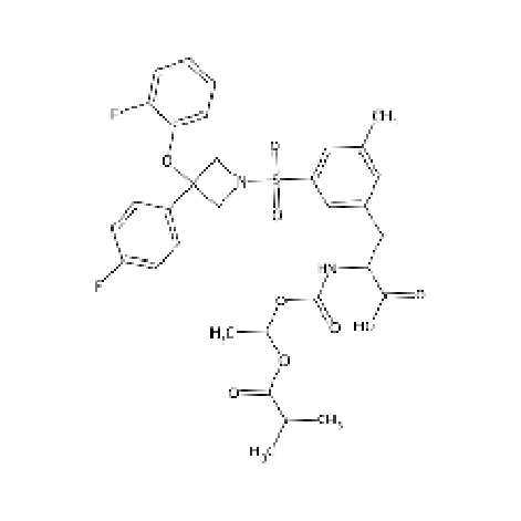 Cc1cc(CC(NC(=O)OC(C)OC(=O)C(C)C)C(=O)O)cc(S(=O)(=O)N2CC(Oc3ccccc3F)(c3ccc(F)cc3)C2)c1